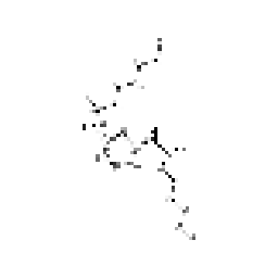 CCCCCCC(C)Nc1cccc(NC(C)CCCCCC)c1